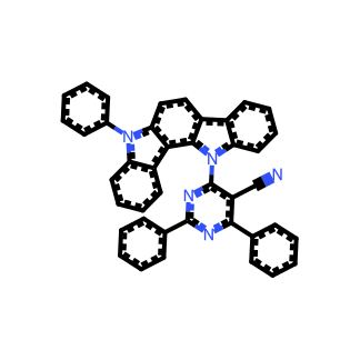 N#Cc1c(-c2ccccc2)nc(-c2ccccc2)nc1-n1c2ccccc2c2ccc3c(c4ccccc4n3-c3ccccc3)c21